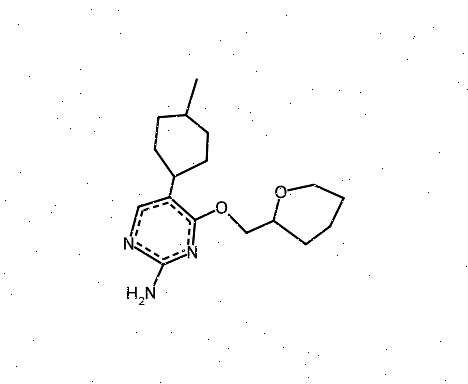 CC1CCC(c2cnc(N)nc2OCC2CCCCO2)CC1